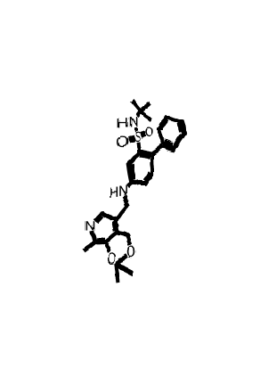 Cc1ncc(CNc2ccc(-c3ccccc3)c(S(=O)(=O)NC(C)(C)C)c2)c2c1OC(C)(C)OC2